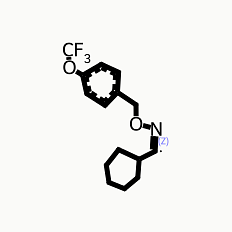 FC(F)(F)Oc1ccc(CO/N=[C]\C2CCCCC2)cc1